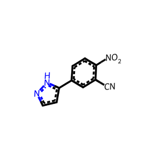 N#Cc1cc(-c2ccn[nH]2)ccc1[N+](=O)[O-]